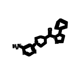 Nc1cc(N2CCC(C(=O)N3N=CCC3c3ccccc3)CC2)ncn1